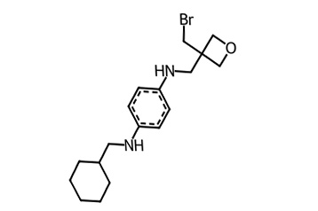 BrCC1(CNc2ccc(NCC3CCCCC3)cc2)COC1